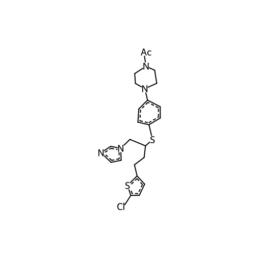 CC(=O)N1CCN(c2ccc(SC(CCc3ccc(Cl)s3)Cn3ccnc3)cc2)CC1